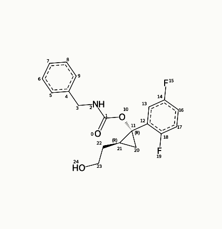 O=C(NCc1ccccc1)O[C@]1(c2cc(F)ccc2F)C[C@H]1CCO